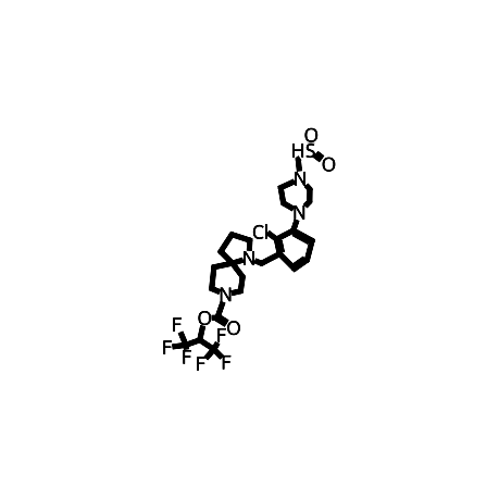 O=C(OC(C(F)(F)F)C(F)(F)F)N1CCC2(CCCN2Cc2cccc(N3CCN(C[SH](=O)=O)CC3)c2Cl)CC1